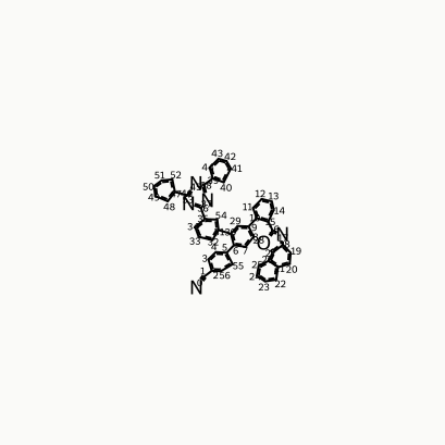 N#Cc1ccc(-c2ccc(-c3ccccc3-c3nc4ccc5ccccc5c4o3)cc2-c2cccc(-c3nc(-c4ccccc4)nc(-c4ccccc4)n3)c2)cc1